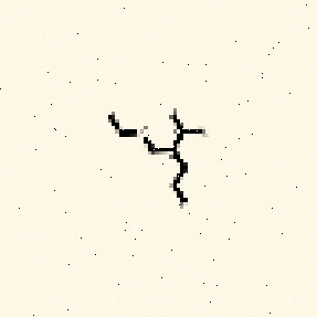 CCCC(CSCC)C(C)C